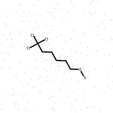 ClC(Cl)(Cl)CCCCC[O][Ti]